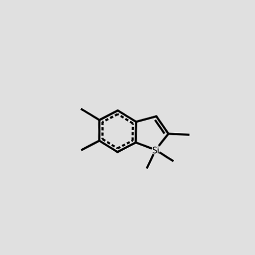 CC1=Cc2cc(C)c(C)cc2[Si]1(C)C